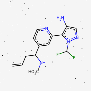 C=CCC(NC(=O)O)c1ccnc(-c2c(N)cnn2C(F)F)c1